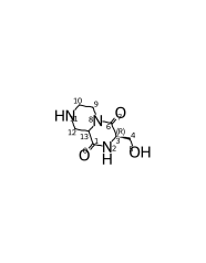 O=C1N[C@H](CO)C(=O)N2CCNCC12